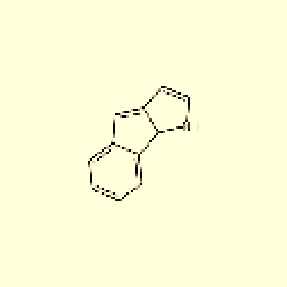 C1=CC2=Cc3ccccc3C2N1